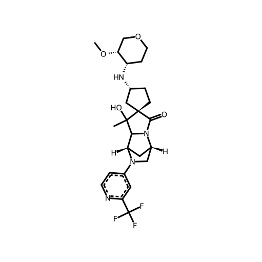 CO[C@@H]1COCC[C@@H]1N[C@@H]1CC[C@@]2(C1)C(=O)N1C([C@@H]3C[C@H]1CN3c1ccnc(C(F)(F)F)c1)C2(C)O